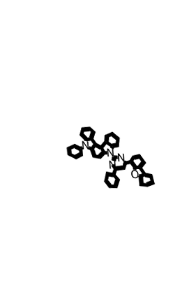 c1ccc(-c2cc(-c3cccc4c3oc3ccccc34)nc(-n3c4ccccc4c4c5c6ccccc6n(-c6ccccc6)c5ccc43)n2)cc1